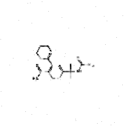 CC(C)(NC(N)=O)c1ccc(C(N)=O)c(C2=CCCCC2)c1